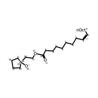 CCCCCCCC/C=C\CCCCCCCC(=O)OCC[N+]1([O-])CCCC1